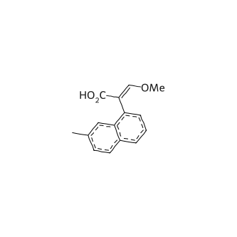 CO/C=C(/C(=O)O)c1cccc2ccc(C)cc12